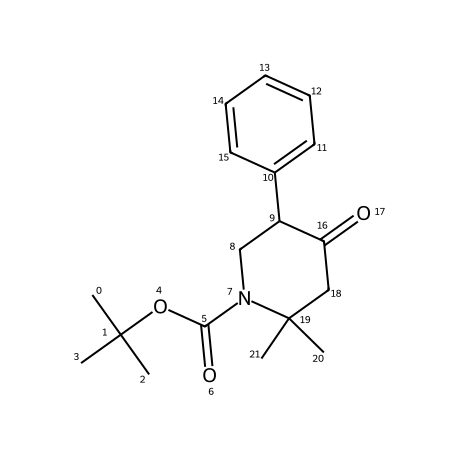 CC(C)(C)OC(=O)N1CC(c2ccccc2)C(=O)CC1(C)C